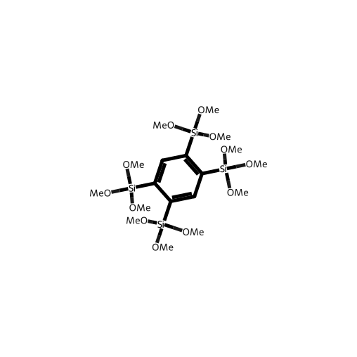 CO[Si](OC)(OC)c1cc([Si](OC)(OC)OC)c([Si](OC)(OC)OC)cc1[Si](OC)(OC)OC